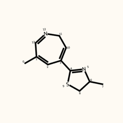 CC1=CC(C2=NC(C)CS2)=CCN=C1